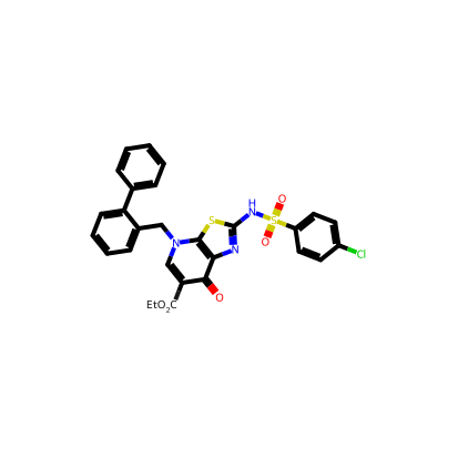 CCOC(=O)c1cn(Cc2ccccc2-c2ccccc2)c2sc(NS(=O)(=O)c3ccc(Cl)cc3)nc2c1=O